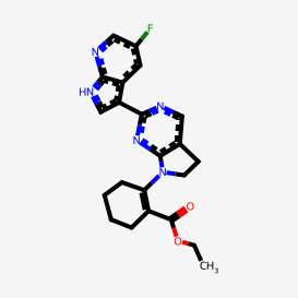 CCOC(=O)C1=C(N2CCc3cnc(-c4c[nH]c5ncc(F)cc45)nc32)CCCC1